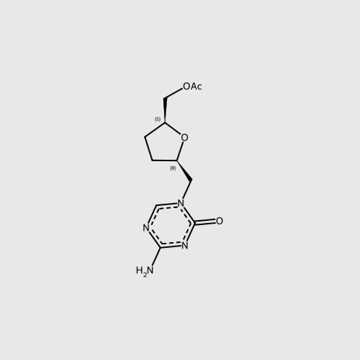 CC(=O)OC[C@@H]1CC[C@H](Cn2cnc(N)nc2=O)O1